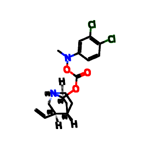 C=C[C@H]1C[N@]2CC[C@H]1C[C@@H]2OC(=O)ON(C)c1ccc(Cl)c(Cl)c1